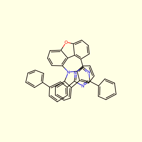 c1ccc(-c2cccc(-c3nc(-c4ccccc4)nc(-c4cccc5oc6cccc(-n7c8ccccc8c8ccccc87)c6c45)n3)c2)cc1